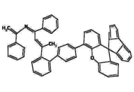 C=C(/N=C(\C=C(/C)c1ccccc1-c1ccc(-c2cccc3c2Oc2ccccc2C32c3ccccc3-c3ccccc32)cc1)c1ccccc1)c1ccccc1